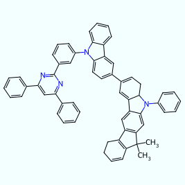 CC1(C)C2=C(CCC=C2)c2cc3c(cc21)N(c1ccccc1)C1CC=C(c2ccc4c(c2)c2ccccc2n4-c2cccc(-c4nc(-c5ccccc5)cc(-c5ccccc5)n4)c2)C=C31